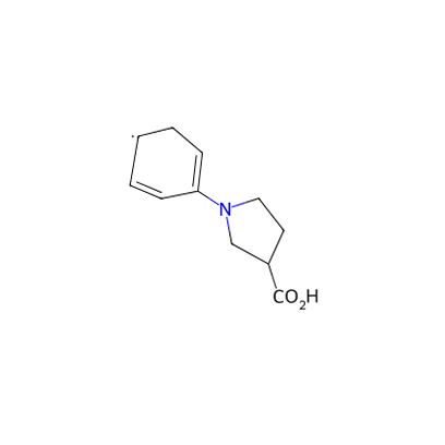 O=C(O)C1CCN(C2=CC[CH]C=C2)C1